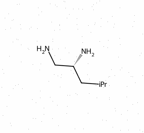 CC(C)C[C@@H](N)CN